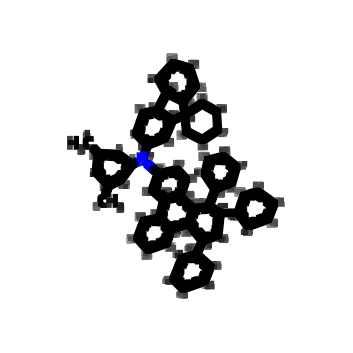 Cc1cc(C)cc(N(c2ccc3c(c2)C2(CCCCC2)c2ccccc2-3)c2ccc3c(c2)c2ccccc2c2c(-c4ccccc4)cc(-c4ccccc4)c(-c4ccccc4)c32)c1